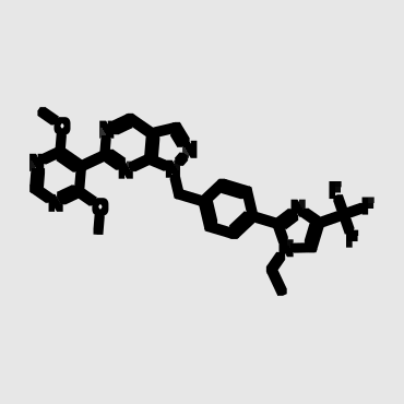 CCn1cc(C(F)(F)F)nc1-c1ccc(Cn2ncc3cnc(-c4c(OC)ncnc4OC)nc32)cc1